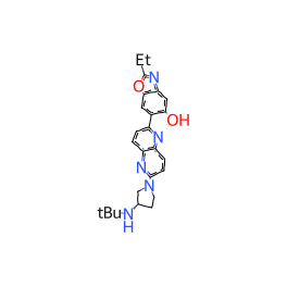 CCc1nc2cc(O)c(-c3ccc4nc(N5CC[C@@H](NC(C)(C)C)C5)ccc4n3)cc2o1